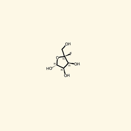 OC[C@@]1(F)O[C@@H](O)[C@H](O)[C@@H]1O